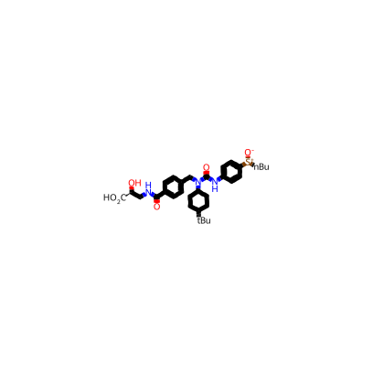 CCCC[S+]([O-])c1ccc(NC(=O)N(Cc2ccc(C(=O)NC[C@@H](O)C(=O)O)cc2)C2CCC(C(C)(C)C)CC2)cc1